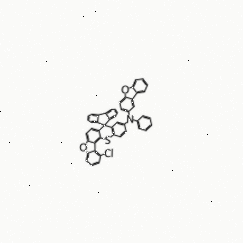 Clc1cccc2oc3ccc4c(c3c12)Sc1ccc(N(c2ccccc2)c2ccc3oc5ccccc5c3c2)cc1C41c2ccccc2-c2ccccc21